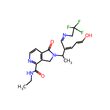 CCNC(=O)c1nccc2c1CN(C(C)C(/C=N\CC(F)(F)F)=C/C=C/O)C2=O